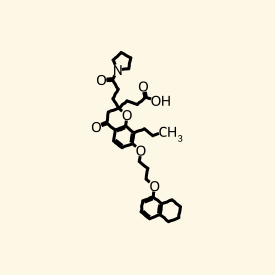 CCCc1c(OCCCOc2cccc3c2CCCC3)ccc2c1OC(CCC(=O)O)(CCC(=O)N1CCCC1)CC2=O